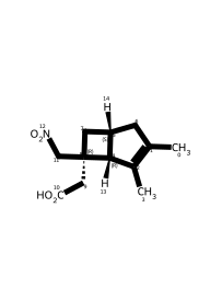 CC1=C(C)[C@H]2[C@@H](C1)C[C@]2(CC(=O)O)C[N+](=O)[O-]